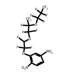 O=[N+]([O-])c1ccc([N+](=O)[O-])c(OC(F)(F)C(F)OC(F)(F)C(F)(OC(F)(F)C(F)(F)C(F)(F)F)C(F)(F)F)c1